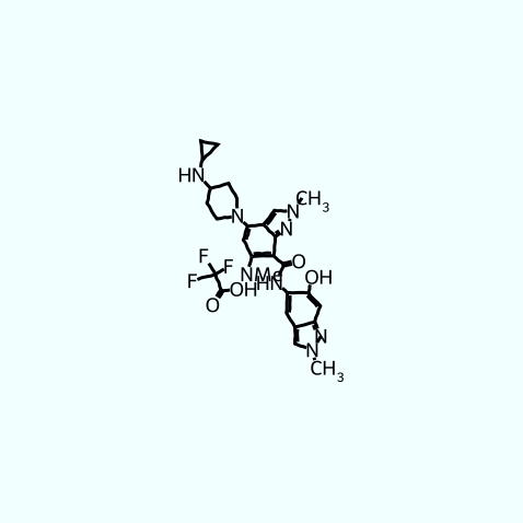 CNc1cc(N2CCC(NC3CC3)CC2)c2cn(C)nc2c1C(=O)Nc1cc2cn(C)nc2cc1O.O=C(O)C(F)(F)F